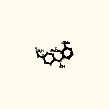 COc1cccc([C@H](O)C2CCN(CC(=O)O)CC2)c1OC